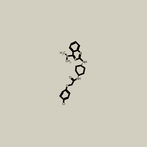 CN(C)c1nc(N[C@H]2CC[C@@H](NC(=O)COc3ccc(Cl)cc3)CC2)nc2ccccc12